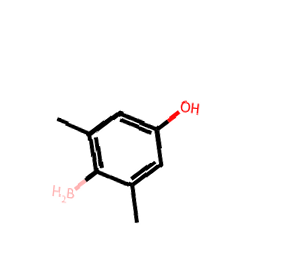 Bc1c(C)cc(O)cc1C